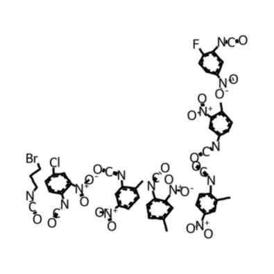 Cc1cc([N+](=O)[O-])ccc1N=C=O.Cc1ccc(N=C=O)c([N+](=O)[O-])c1.Cc1ccc(N=C=O)cc1[N+](=O)[O-].Cc1ccc([N+](=O)[O-])cc1N=C=O.O=C=NCCCBr.O=C=Nc1cc([N+](=O)[O-])ccc1F.O=C=Nc1ccc(Cl)cc1[N+](=O)[O-]